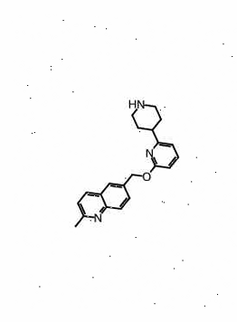 Cc1ccc2cc(COc3cccc(C4CCNCC4)n3)ccc2n1